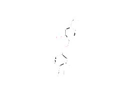 COc1cc(C=O)ccc1COc1ccc(C(F)(F)F)c(F)c1